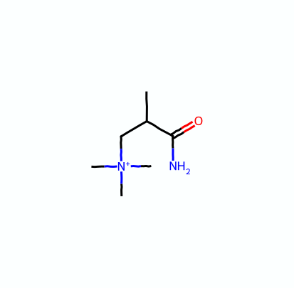 CC(C[N+](C)(C)C)C(N)=O